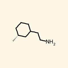 C[C@@H]1CCCC(CCN)C1